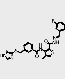 Cc1csc(C(=O)N/N=C/c2cccc(F)c2)c1NC(=O)c1cccc(CSc2nc[nH]n2)c1